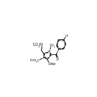 CCOC(=O)Cc1c(C(=O)OCC)c(OC)c(C(=O)c2ccc(Cl)cc2)n1C